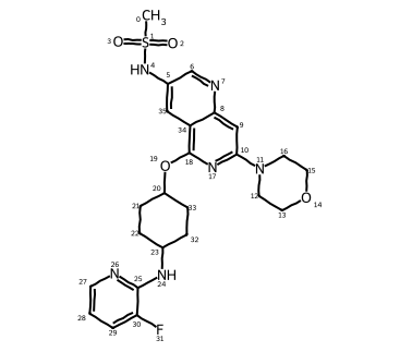 CS(=O)(=O)Nc1cnc2cc(N3CCOCC3)nc(OC3CCC(Nc4ncccc4F)CC3)c2c1